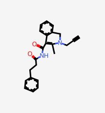 C#CCN1Cc2ccccc2C(C(=O)NC(=O)CCc2ccccc2)=C1C